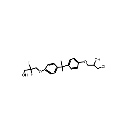 CC(C)(c1ccc(OCC(O)CCl)cc1)c1ccc(OCC(F)(F)CO)cc1